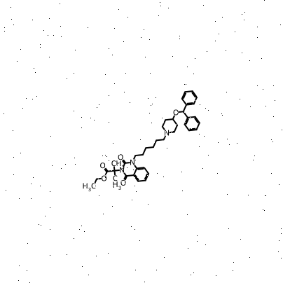 CCOC(=O)C(C)(C)n1c(=O)c2ccccc2n(CCCCCCN2CCC(OC(c3ccccc3)c3ccccc3)CC2)c1=O